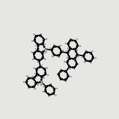 c1ccc(-c2ccc3c(-c4ccccc4)c4ccccc4c(-c4ccc(-n5c6ccccc6c6ccc(-c7ccc8c(c7)c7ccccc7n8-c7ccccc7)cc65)cc4)c3c2)cc1